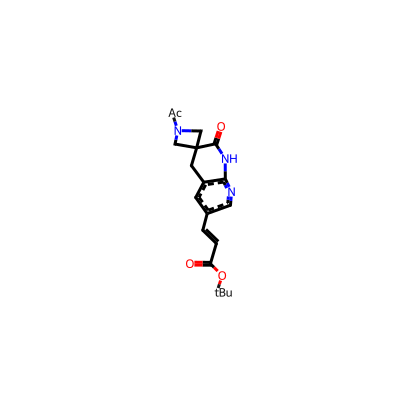 CC(=O)N1CC2(Cc3cc(/C=C/C(=O)OC(C)(C)C)cnc3NC2=O)C1